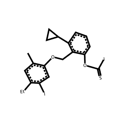 CCc1cc(C)c(OCc2c(OC(=S)I)cccc2C2CC2)cc1I